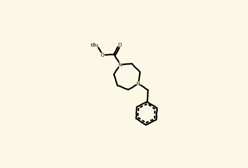 CC(C)(C)OC(=O)N1CCCN(Cc2ccccc2)CC1